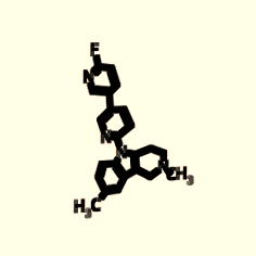 Cc1ccc2c(c1)c1c(n2-c2ccc(-c3ccc(F)nc3)cn2)CCN(C)C1